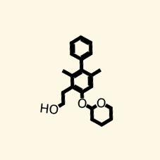 Cc1cc(OC2CCCCO2)c(CCO)c(C)c1-c1ccccc1